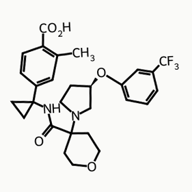 Cc1cc(C2(NC(=O)C3(N4CC[C@@H](Oc5cccc(C(F)(F)F)c5)C4)CCOCC3)CC2)ccc1C(=O)O